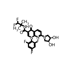 CC(C)(NC(=O)c1cn(-c2c(F)cc(F)cc2F)c2nc(N3C[C@@H](O)[C@H](O)C3)ccc2c1=O)C(F)F